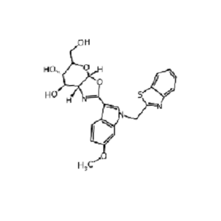 COc1ccc2c(C3=N[C@H]4[C@@H](O3)O[C@H](CO)[C@@H](O)[C@@H]4O)cn(Cc3nc4ccccc4s3)c2c1